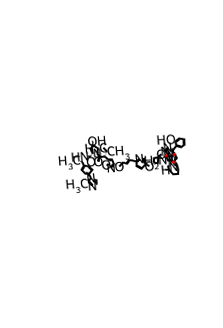 Cc1nccn1-c1ccc([C@H](C)NC(=O)[C@@H]2C[C@@H](O)CN2C(=O)[C@@H](c2cc(OC/C=C/c3ccc(OC4CC(Oc5cc(N6C7CC[C@@H]6CN(c6cc(-c8ccccc8O)nnc6N)C7)ccn5)C4)cn3)no2)C(C)C)cc1